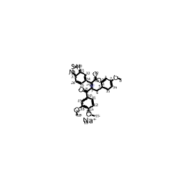 COc1ccc(C/C(C(=O)c2ccc(OC)c(OC)c2)=C(\C(=O)[O-])c2ccc3nsnc3c2)cc1.[Na+]